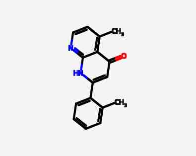 Cc1ccccc1-c1cc(=O)c2c(C)ccnc2[nH]1